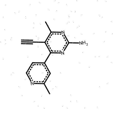 C#Cc1c(C)nc(N)nc1-c1ccnc(C)c1